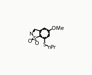 CCCSc1cc(OC)cc2c1S(=O)(=O)N=C2